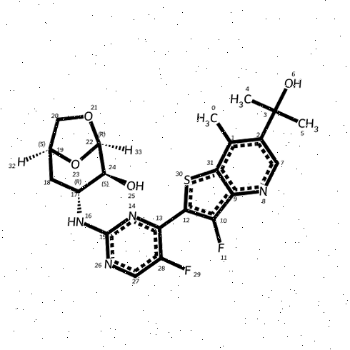 Cc1c(C(C)(C)O)cnc2c(F)c(-c3nc(N[C@@H]4C[C@H]5CO[C@H](O5)[C@H]4O)ncc3F)sc12